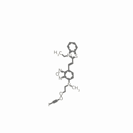 CC[n+]1c(/C=C/c2ccc(N(C)CCOOC#CI)c3nonc23)sc2ccccc21